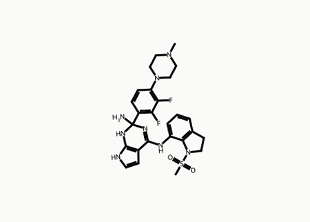 CN1CCN(c2ccc(C3(N)N=C(Nc4cccc5c4N(S(C)(=O)=O)CC5)c4cc[nH]c4N3)c(F)c2F)CC1